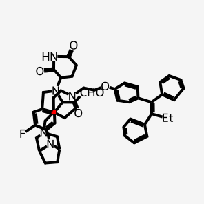 CCC(=C(c1ccccc1)c1ccc(OCCN2CCC(CN3CC4CCC(C3)N4c3cc4c(cc3F)CN(C3CCC(=O)NC3=O)C4C(=O)C=O)CC2)cc1)c1ccccc1